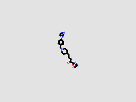 O=C(CCCC1CCN(Cc2ccc(-n3ccnc3)cc2)CC1)c1ncco1